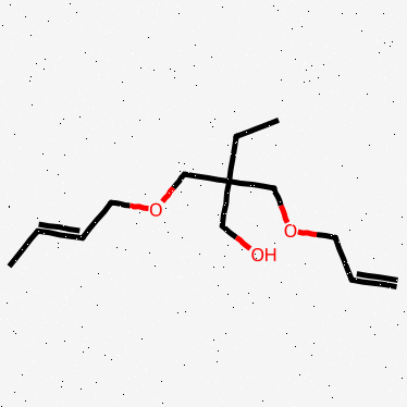 C=CCOCC(CC)(CO)COC/C=C/C